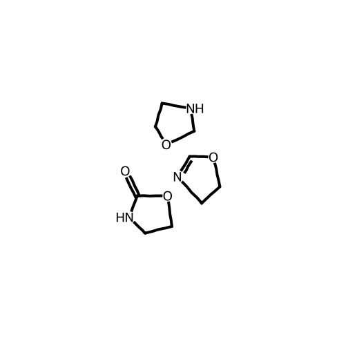 C1=NCCO1.C1COCN1.O=C1NCCO1